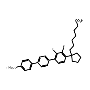 CCCCCCCc1ccc(-c2ccc(-c3ccc(C4(CCCCCCC(=O)O)CCCC4)c(F)c3F)cc2)cc1